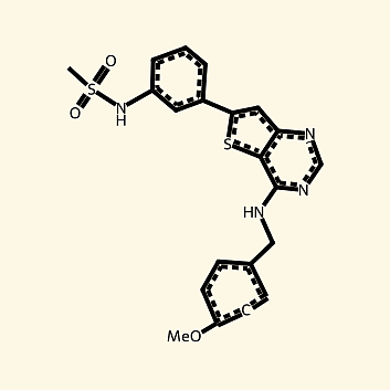 COc1ccc(CNc2ncnc3cc(-c4cccc(NS(C)(=O)=O)c4)sc23)cc1